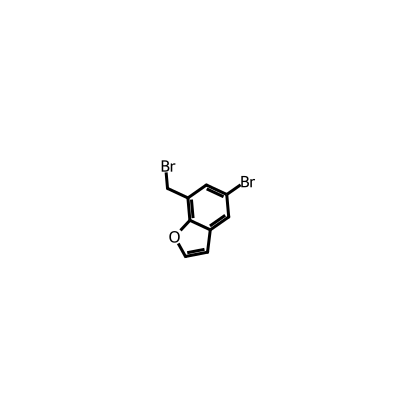 BrCc1cc(Br)cc2ccoc12